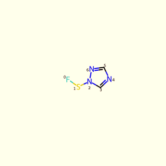 FSn1cncn1